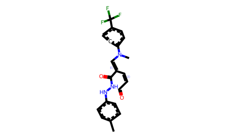 Cc1ccc(NNC(=O)C(/C=C\C=O)=C/N(C)c2ccc(C(F)(F)F)cc2)cc1